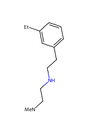 CCc1cccc(CCNCCNC)c1